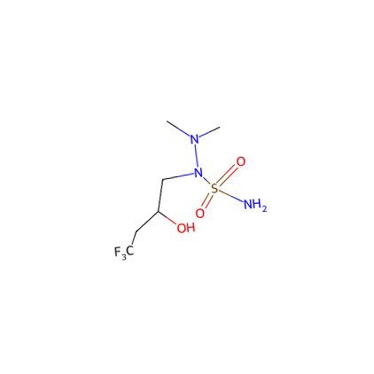 CN(C)N(CC(O)CC(F)(F)F)S(N)(=O)=O